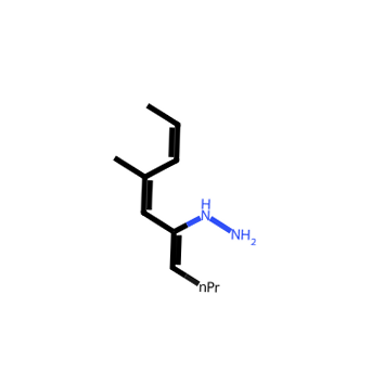 C\C=C/C(C)=C\C(=C\CCC)NN